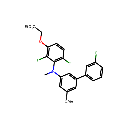 CCOC(=O)COc1ccc(F)c(N(C)c2cc(OC)cc(-c3cccc(F)c3)c2)c1F